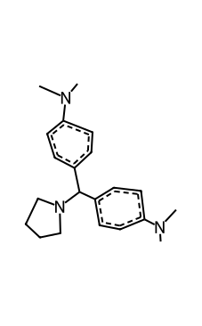 CN(C)c1ccc(C(c2ccc(N(C)C)cc2)N2CCCC2)cc1